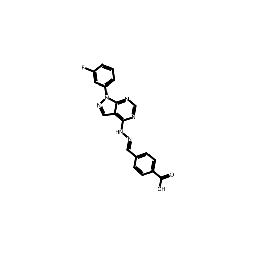 O=C(O)c1ccc(/C=N/Nc2ncnc3c2cnn3-c2cccc(F)c2)cc1